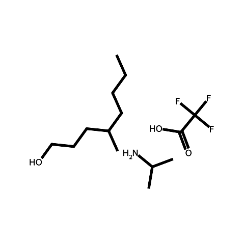 CC(C)N.CCCCC(C)CCCO.O=C(O)C(F)(F)F